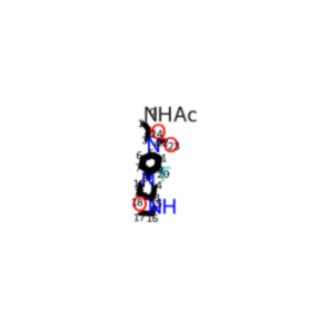 CC(=O)NCC1CN(c2ccc(N3CCC4(CC3)NCCO4)c(F)c2)C(=O)O1